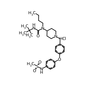 CCCCN(C(=O)NC(C)(C)C)C1CCN(Cc2ccc(Oc3ccc(NS(C)(=O)=O)cc3)cc2)CC1.Cl